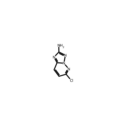 Nc1nc2ccc(Cl)nn2n1